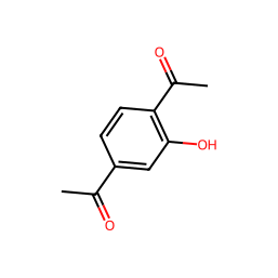 CC(=O)c1ccc(C(C)=O)c(O)c1